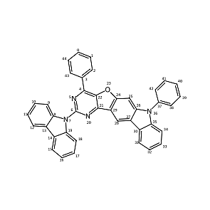 c1ccc(-c2nc(-n3c4ccccc4c4ccccc43)nc3c2oc2cc4c(cc23)c2ccccc2n4-c2ccccc2)cc1